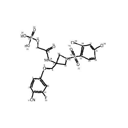 N#Cc1ccc(OCC2(NC(=O)COP(=O)(O)O)CN(S(=O)(=O)c3ccc(Cl)cc3Cl)C2)cc1F